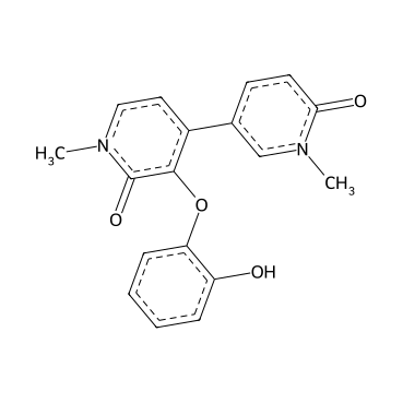 Cn1cc(-c2ccn(C)c(=O)c2Oc2ccccc2O)ccc1=O